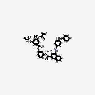 C=CC(=O)Nc1cc(NC(=O)C=C)cc(C(=O)Nc2cccc(NC(=O)c3cc4ccccc4c(/N=N/c4ccc(NC5=CCCC=C5)cc4)c3O)c2)c1